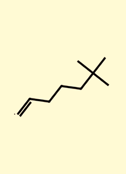 [CH]=CCCCC(C)(C)C